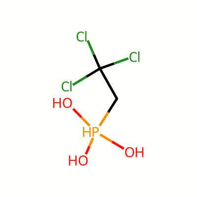 O[PH](O)(O)CC(Cl)(Cl)Cl